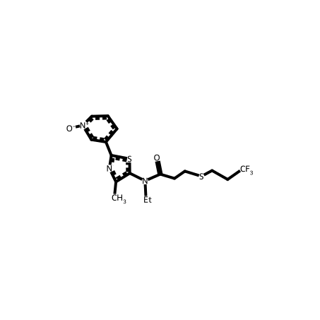 CCN(C(=O)CCSCCC(F)(F)F)c1sc(-c2ccc[n+]([O-])c2)nc1C